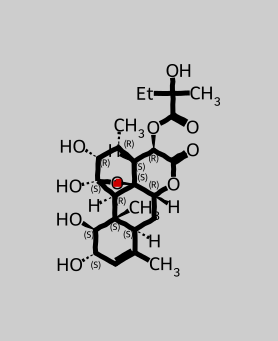 CCC(C)(O)C(=O)O[C@H]1C(=O)O[C@@H]2C[C@H]3C(C)=C[C@H](O)[C@@H](O)[C@]3(C)[C@H]3[C@]4(O)OC[C@]32[C@@H]1[C@@H](C)[C@H]4O